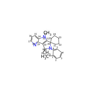 Cc1ccccc1N1[C@@H](C)c2c(n(C)c3cccnc23)C12CCCCC2